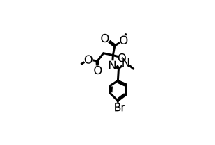 COC(=O)CC1(C(=O)OC)N=C(c2ccc(Br)cc2)N(C)O1